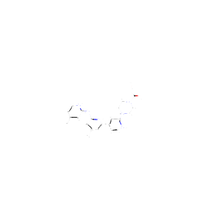 Cc1ccnc(Nc2cc([N+](=O)[O-])cc(-c3ccnc(N4CCN(C(=O)OC(C)(C)C)CC4)c3)n2)c1